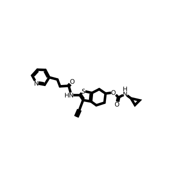 C#Cc1c(NC(=O)CCc2cccnc2)sc2c1CCC(OC(=O)NC1CC1)C2